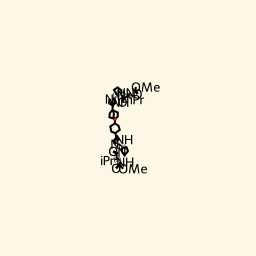 COC(=O)N[C@H](C(=O)N1CCC[C@H]1c1ncc(C2CCC(C34CCC(c5cnc([C@@H]6CCCN6C(=O)[C@@H](NC(=O)OC)C(C)C)[nH]5)(CC3)CC4)CC2)[nH]1)C(C)C